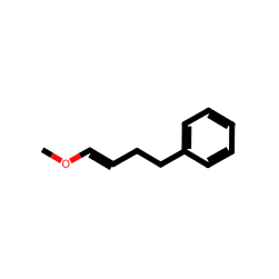 COC=CCCc1cc[c]cc1